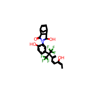 C=C(/C=C\C(O)=C/C)C(c1ccc(O)c(N2C(=O)C3C4C=CC(C4)C3C2O)c1)(C(F)(F)F)C(F)(F)F